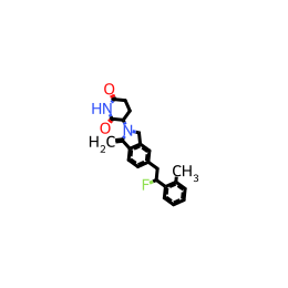 C=C1c2ccc(CC(F)c3ccccc3C)cc2CN1C1CCC(=O)NC1=O